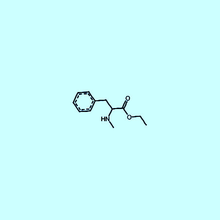 CCOC(=O)C(Cc1ccccc1)NC